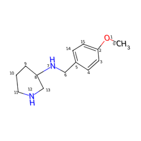 COc1ccc(CNC2CCCNC2)cc1